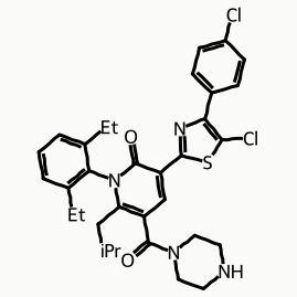 CCc1cccc(CC)c1-n1c(CC(C)C)c(C(=O)N2CCNCC2)cc(-c2nc(-c3ccc(Cl)cc3)c(Cl)s2)c1=O